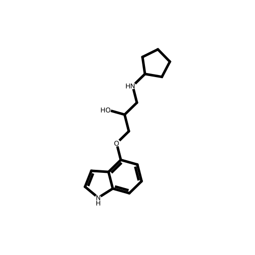 OC(CNC1CCCC1)COc1cccc2[nH]ccc12